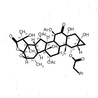 CC(=O)O[C@H]1[C@@H]2[C@H]([C@H](C)[C@H]3O[C@]34OC(=O)[C@@](C)(O)[C@]24C)[C@@]2(C)[C@@H](OC(C)=O)CC3C([C@H]12)[C@@H](OC(C)=O)C(=O)[C@@]1(O)C[C@@]2(O)C[C@@H]2[C@H](OC(=O)CC(C)C)[C@]31C